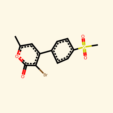 Cc1cc(-c2ccc(S(C)(=O)=O)cc2)c(Br)c(=O)o1